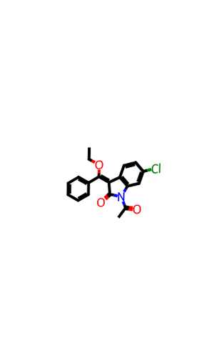 CCOC(=C1C(=O)N(C(C)=O)c2cc(Cl)ccc21)c1ccccc1